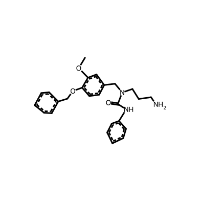 COc1cc(CN(CCCN)C(=O)Nc2ccccc2)ccc1OCc1ccccc1